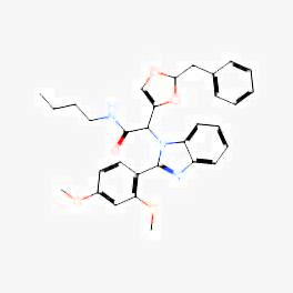 CCCCNC(=O)C(C1=COC(Cc2ccccc2)O1)n1c(-c2ccc(OC)cc2OC)nc2ccccc21